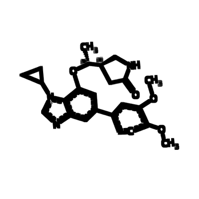 COc1ccc(-c2cc(O[C@H](C)[C@H]3CNC(=O)C3)c3c(c2)ncn3C2CC2)cc1OC